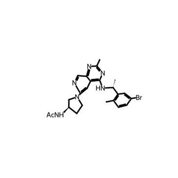 CC(=O)N[C@@H]1CCN(c2cc3c(N[C@H](C)c4cc(Br)ccc4C)nc(C)nc3cn2)C1